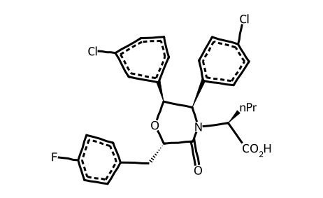 CCC[C@@H](C(=O)O)N1C(=O)[C@H](Cc2ccc(F)cc2)O[C@@H](c2cccc(Cl)c2)[C@H]1c1ccc(Cl)cc1